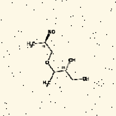 CC(OC[C@@H](C)N=O)[C@H](O)CO